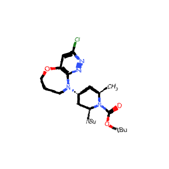 CCCC[C@H]1C[C@H](N2CCCOc3cc(Cl)nnc32)C[C@@H](C)N1C(=O)OC(C)(C)C